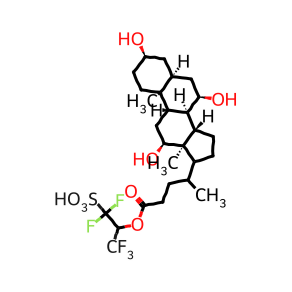 CC(CCC(=O)OC(C(F)(F)F)C(F)(F)S(=O)(=O)O)C1CC[C@H]2[C@@H]3[C@H](O)C[C@@H]4C[C@H](O)CC[C@]4(C)[C@H]3C[C@H](O)[C@]12C